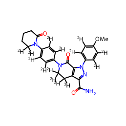 [2H]c1c([2H])c(-n2nc(C(N)=O)c3c2C(=O)N(c2c([2H])c([2H])c(N4C(=O)CCCC4([2H])[2H])c([2H])c2[2H])C([2H])([2H])C3([2H])[2H])c([2H])c([2H])c1OC